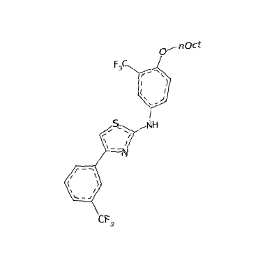 CCCCCCCCOc1ccc(Nc2nc(-c3cccc(C(F)(F)F)c3)cs2)cc1C(F)(F)F